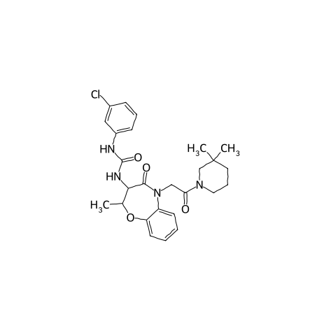 CC1Oc2ccccc2N(CC(=O)N2CCCC(C)(C)C2)C(=O)C1NC(=O)Nc1cccc(Cl)c1